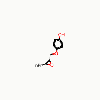 CCC[C@@H]1O[C@H]1COc1ccc(O)cc1